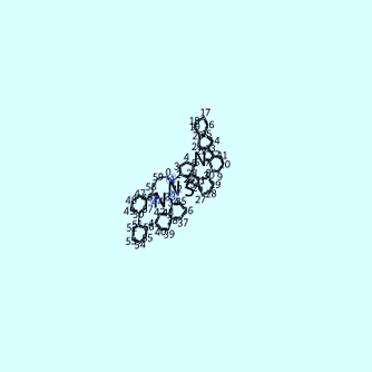 C1=C(c2ccc(-n3c4ccccc4c4cc5ccccc5cc43)c3c2sc2ccccc23)/N=C(c2cccc3ccccc23)\N=C(\c2cccc(-c3ccccc3)c2)CC\1